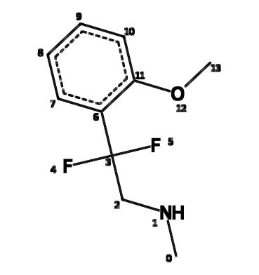 CNCC(F)(F)c1ccccc1OC